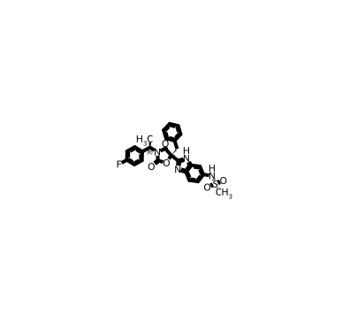 C[C@H](c1ccc(F)cc1)N1C(=O)O[C@](Cc2ccccc2)(c2nc3ccc(NS(C)(=O)=O)cc3[nH]2)C1=O